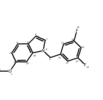 COc1ccc2ccn(Cc3cc(F)cc(F)c3)c2c1